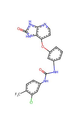 O=C(Nc1cccc(Oc2ccnc3[nH]c(=O)[nH]c23)c1)Nc1ccc(C(F)(F)F)c(Cl)c1